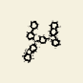 c1ccc(-c2cccc(N(c3ccc(-n4c5ccccc5c5cc6ccccc6cc54)cc3)c3ccc4c(c3)oc3ccccc34)c2)cc1